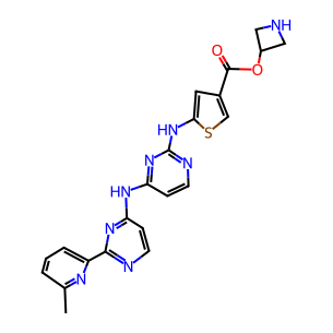 Cc1cccc(-c2nccc(Nc3ccnc(Nc4cc(C(=O)OC5CNC5)cs4)n3)n2)n1